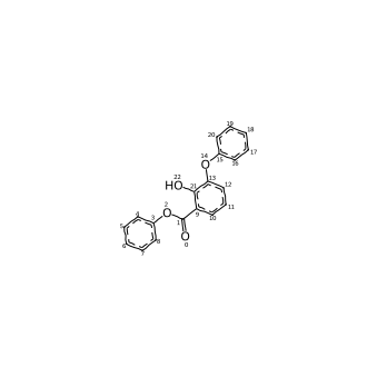 O=C(Oc1ccccc1)c1cccc(Oc2ccccc2)c1O